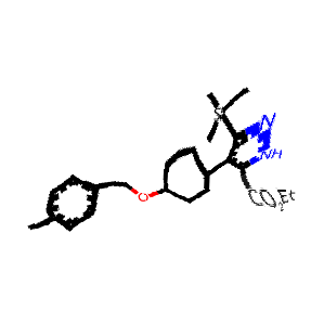 CCOC(=O)c1[nH]nc([Si](C)(C)C)c1C1CCC(OCc2ccc(C)cc2)CC1